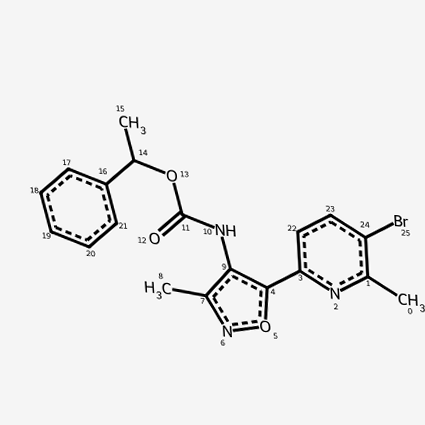 Cc1nc(-c2onc(C)c2NC(=O)OC(C)c2ccccc2)ccc1Br